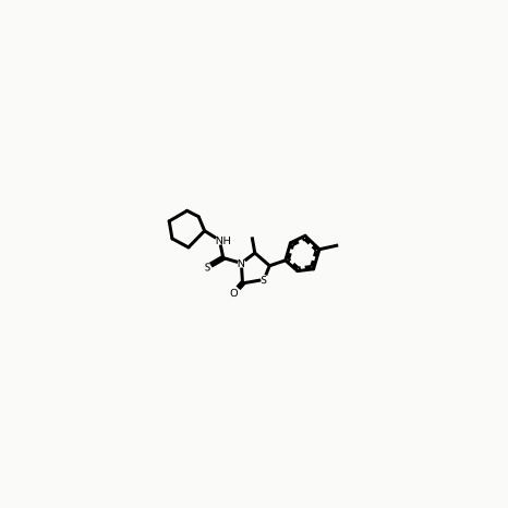 Cc1ccc(C2SC(=O)N(C(=S)NC3CCCCC3)C2C)cc1